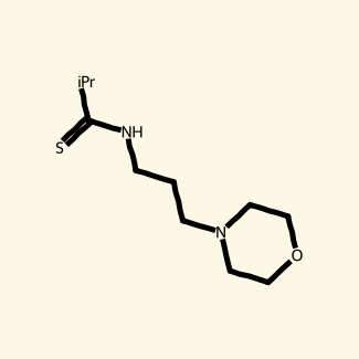 CC(C)C(=S)NCCCN1CCOCC1